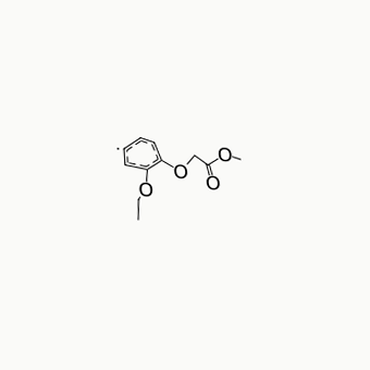 CCOc1c[c]ccc1OCC(=O)OC